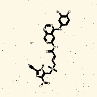 Cn1c(C#N)nc([N+](=O)[O-])c1C[N+](C)(C)C/C=C/C(=O)Nc1cc2c(Nc3ccc(Cl)c(Br)c3)ncnc2cn1.[Br-]